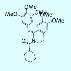 COc1cc2c(cc1OC)C(=Cc1cc(OC)c(OC)c(OC)c1)N(C(=O)C1CCCCC1)CC2